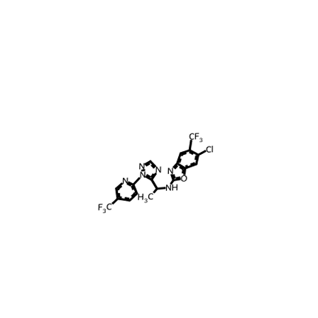 CC(Nc1nc2cc(C(F)(F)F)c(Cl)cc2o1)c1ncnn1-c1ccc(C(F)(F)F)cn1